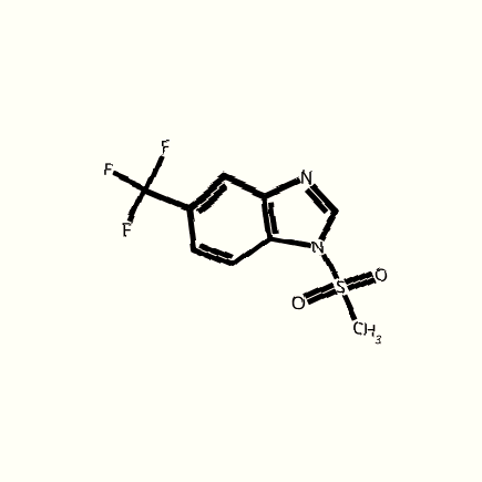 CS(=O)(=O)n1cnc2cc(C(F)(F)F)ccc21